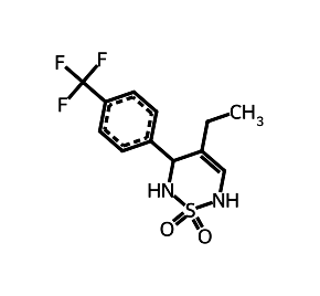 CCC1=CNS(=O)(=O)NC1c1ccc(C(F)(F)F)cc1